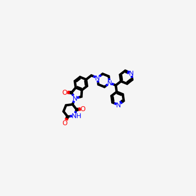 O=C1CCC(N2Cc3cc(CN4CCN(C(c5ccncc5)c5ccncc5)CC4)ccc3C2=O)C(=O)N1